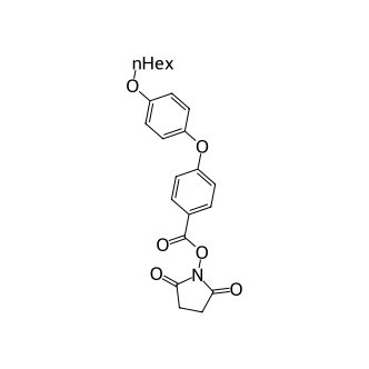 CCCCCCOc1ccc(Oc2ccc(C(=O)ON3C(=O)CCC3=O)cc2)cc1